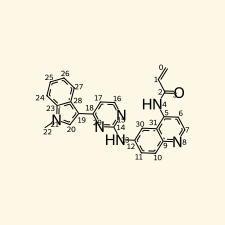 C=CC(=O)Nc1ccnc2ccc(Nc3nccc(-c4cn(C)c5ccccc45)n3)cc12